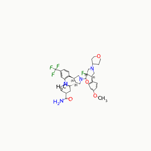 CC[C@H]1CN(C(=O)[C@]2(F)CN(C3CCOCC3)C[C@H]2c2ccc(OC)cc2)C[C@@H]1c1ccc(C(F)(F)F)cc1N1CCC(C(N)=O)CC1